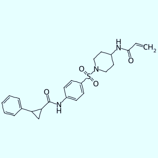 C=CC(=O)NC1CCN(S(=O)(=O)c2ccc(NC(=O)C3CC3c3ccccc3)cc2)CC1